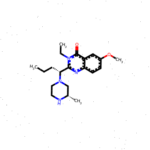 CCC[C@H](c1nc2ccc(OC)cc2c(=O)n1CC)N1CCN[C@@H](C)C1